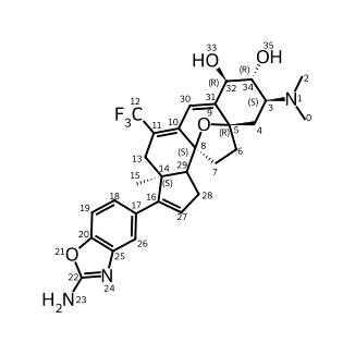 CN(C)[C@H]1C[C@@]23CC[C@@]4(O2)C(=C(C(F)(F)F)C[C@]2(C)C(c5ccc6oc(N)nc6c5)=CCC24)C=C3[C@@H](O)[C@@H]1O